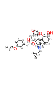 COc1cccc(CC(=O)O[C@@]23CCC(=O)[C@@H]4Oc5c(O)ccc6c5C42C[C@]2(C6)C3N2CC2CC2)c1